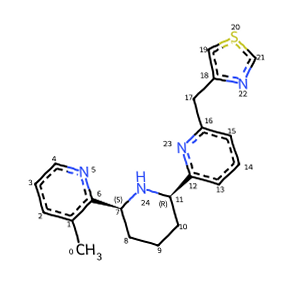 Cc1cccnc1[C@@H]1CCC[C@H](c2cccc(Cc3cscn3)n2)N1